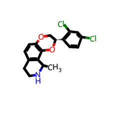 CC1NCCc2ccc3c(c21)O[C@@H](c1ccc(Cl)cc1Cl)CO3